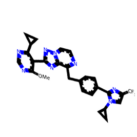 COc1ncnc(C2CC2)c1-c1nc2c(Cc3ccc(-c4nc(C(F)(F)F)cn4C4CC4)cc3)nccn2n1